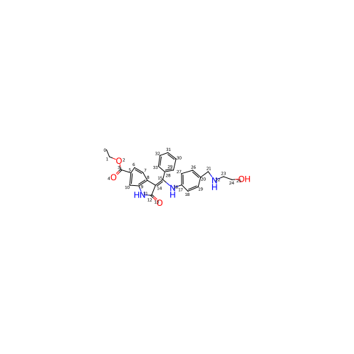 CCOC(=O)c1ccc2c(c1)NC(=O)/C2=C(\Nc1ccc(CNCCO)cc1)c1ccccc1